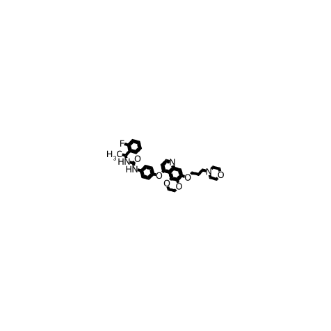 CC(NC(=O)Nc1ccc(Oc2ccnc3cc(OCCCN4CCOCC4)c4c(c23)OCCO4)cc1)c1ccccc1F